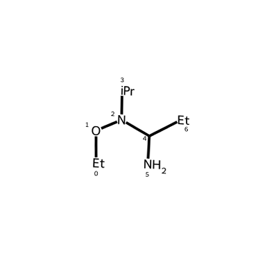 CCON(C(C)C)C(N)CC